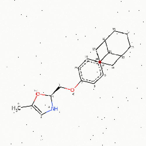 CC1=CN[C@H](COc2ccc(C3C4CCCC3CCC4)cc2)O1